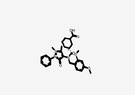 COc1ccc(CN(C(=O)[C@@H]2CCCC(C(=O)O)C2)c2c(C)n(C)n(-c3ccccc3)c2=O)c(OC)c1